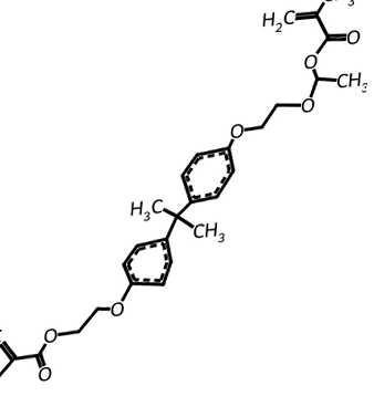 C=C(C)C(=O)OCCOc1ccc(C(C)(C)c2ccc(OCCOC(C)OC(=O)C(=C)C)cc2)cc1